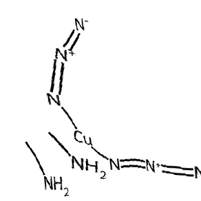 CN.CN.[N-]=[N+]=[N][Cu][N]=[N+]=[N-]